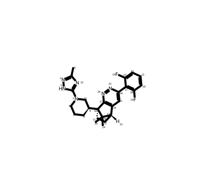 Cc1n[nH]c(N2CCC[C@H]([C@@]34CC[C@@H](c5cc(-c6c(F)cccc6F)nnc53)C4(C)C)C2)n1